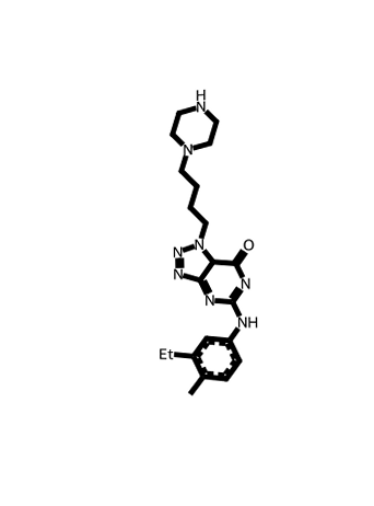 CCc1cc(NC2=NC(=O)C3C(=N2)N=NN3CCCCN2CCNCC2)ccc1C